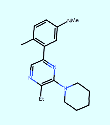 CCc1ncc(-c2cc(NC)ccc2C)nc1N1CCCCC1